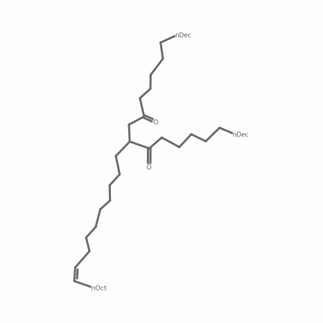 CCCCCCCC/C=C\CCCCCCCCC(CC(=O)CCCCCCCCCCCCCCC)C(=O)CCCCCCCCCCCCCCC